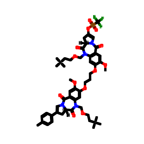 COc1cc2c(cc1OCCCOc1cc3c(cc1OC)C(=O)N1C=C(c4ccc(C)cc4)C[C@H]1C(=O)N3COCC[Si](C)(C)C)N(COCC[Si](C)(C)C)C(=O)[C@@H]1CC(OS(=O)(=O)C(F)(F)F)=CN1C2=O